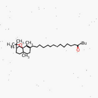 CCC(C)C(=O)CCCCCCCCCCCCCC1=C(C)[C@@]23C[C@@H](CC[C@]2(C)CC1)C(C)(C)O3